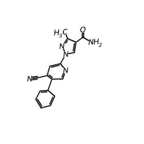 Cc1nn(-c2cc(C#N)c(-c3ccccc3)cn2)cc1C(N)=O